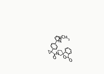 Cn1ccc(-c2ccc(C3(C(=O)N4CCC5(C4)OC(=O)c4ccccc45)CC3)cc2)n1